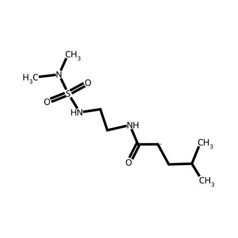 CC(C)C[CH]C(=O)NCCNS(=O)(=O)N(C)C